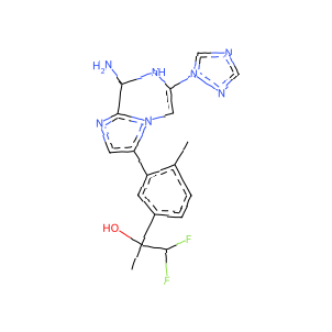 Cc1ccc(C(C)(O)C(F)F)cc1-c1cnc2n1C=C(n1cncn1)NC2N